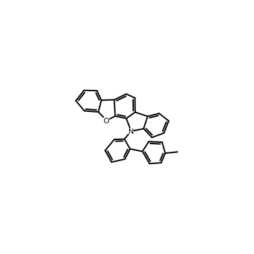 Cc1ccc(-c2ccccc2-n2c3ccccc3c3ccc4c5ccccc5oc4c32)cc1